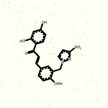 COc1ccc(/C=C/C(=O)c2ccc(O)cc2O)cc1Cn1ccc([N+](=O)[O-])n1